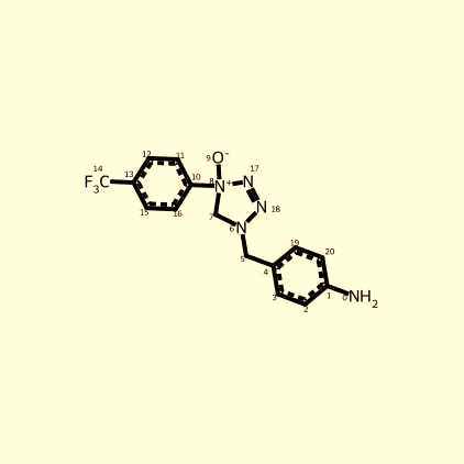 Nc1ccc(CN2C[N+]([O-])(c3ccc(C(F)(F)F)cc3)N=N2)cc1